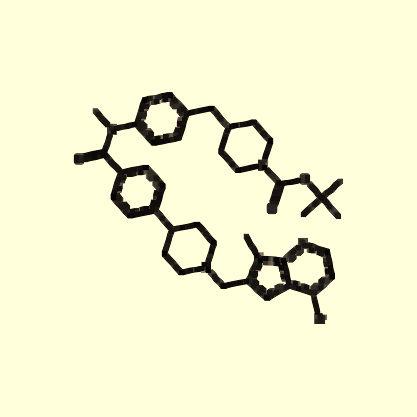 CN(C(=O)c1ccc(C2CCN(Cc3cc4c(Br)ccnc4n3C)CC2)cc1)c1ccc(CC2CCN(C(=O)OC(C)(C)C)CC2)cc1